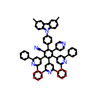 Cc1ccc2c(c1)c1cc(C)ccc1n2-c1ccc(-c2c(C#N)c(-c3cc(-c4ccccc4)nc(-c4ccccc4)c3)c(-c3cc(-c4ccccc4)nc(-c4ccccc4)c3)c(-c3cc(-c4ccccc4)nc(-c4ccccc4)c3)c2-c2ccncc2)cc1